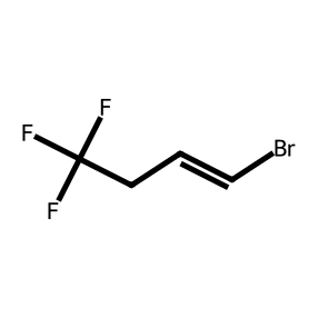 FC(F)(F)CC=CBr